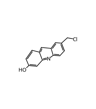 Oc1ccc2cc3cc(CCl)ccc3nc2c1